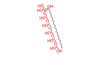 CCCCCCCCCCCCCCCCCCCCCC(=O)O.OCC(O)COCC(O)COCC(O)COCC(O)COCC(O)COCC(O)CO